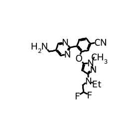 CCN(CC(F)F)c1cc(Oc2cc(C#N)ccc2-c2ncc(CN)cn2)n(C)n1